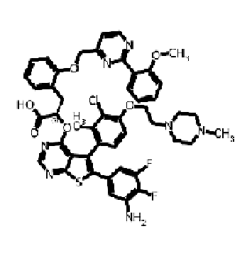 COc1ccccc1-c1nccc(COc2ccccc2C[C@@H](Oc2ncnc3sc(-c4cc(N)c(F)c(F)c4)c(-c4ccc(OCCN5CCN(C)CC5)c(Cl)c4C)c23)C(=O)O)n1